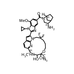 COc1cc(C(=O)N2C[C@H](N)C3CC[C@@H]2C3)cc2nc(-c3cc4ccc5nc4n3CC(F)(F)CCCOC(C)(C)C(O)N[C@@H]5C)n(C3CC3)c12